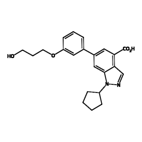 O=C(O)c1cc(-c2cccc(OCCCO)c2)cc2c1cnn2C1CCCC1